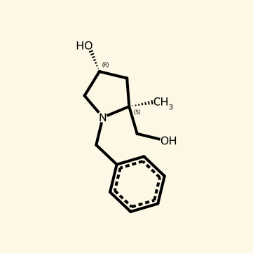 C[C@@]1(CO)C[C@@H](O)CN1Cc1ccccc1